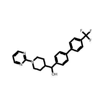 OC(c1ccc(-c2ccc(C(F)(F)F)cc2)cc1)C1CCN(c2ncccn2)CC1